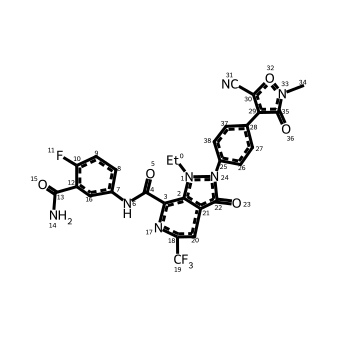 CCn1c2c(C(=O)Nc3ccc(F)c(C(N)=O)c3)nc(C(F)(F)F)cc2c(=O)n1-c1ccc(-c2c(C#N)on(C)c2=O)cc1